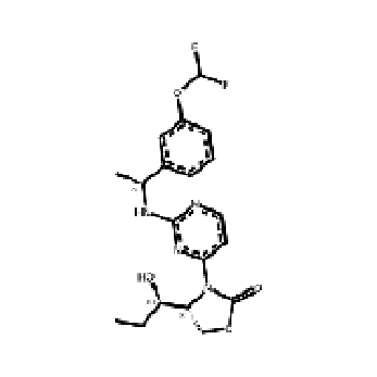 CC[C@@H](O)[C@H]1COC(=O)N1c1ccnc(N[C@@H](C)c2cccc(OC(F)F)c2)n1